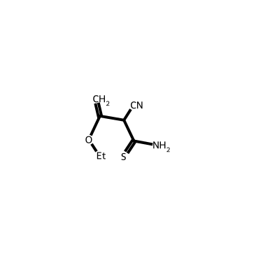 C=C(OCC)C(C#N)C(N)=S